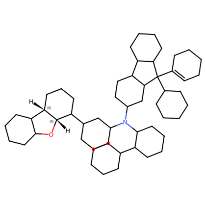 C1=C(C2(C3CCCCC3)C3CCCCC3C3CCC(N(C4CCCC(C5CCC[C@H]6C7CCCCC7O[C@@H]56)C4)C4CCCCC4C4CCCCC4)CC32)CCCC1